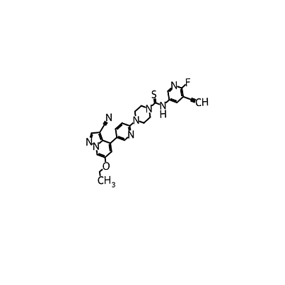 C#Cc1cc(NC(=S)N2CCN(c3ccc(-c4cc(OCC)cn5ncc(C#N)c45)cn3)CC2)cnc1F